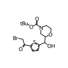 CC(C)(C)OC(=O)N1CCOC(C(O)c2ccc(C(=O)CBr)s2)C1